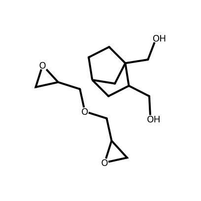 C(OCC1CO1)C1CO1.OCC1CC2CCC1(CO)C2